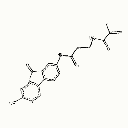 C=C(F)C(=O)NCCC(=O)Nc1ccc2c(c1)C(=O)c1nc(C(F)(F)F)ncc1-2